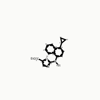 CCOC(=O)c1cnc(N(CC)c2ccc(C3CC3)c3ccccc23)o1